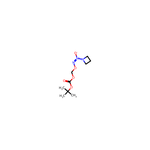 CC(C)(C)OC(=O)OCO/N=[N+](/[O-])N1CCC1